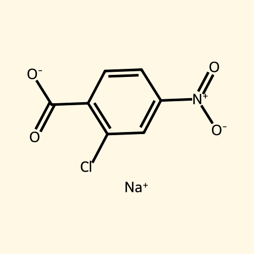 O=C([O-])c1ccc([N+](=O)[O-])cc1Cl.[Na+]